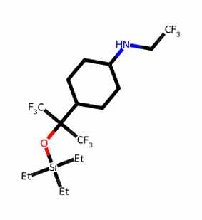 CC[Si](CC)(CC)OC(C1CCC(NCC(F)(F)F)CC1)(C(F)(F)F)C(F)(F)F